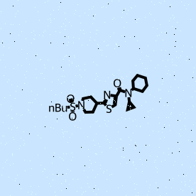 CCCCS(=O)(=O)N1CCC(c2nc(C(=O)N(C3CCCCC3)C3CC3)cs2)CC1